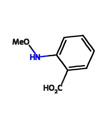 CONc1ccccc1C(=O)O